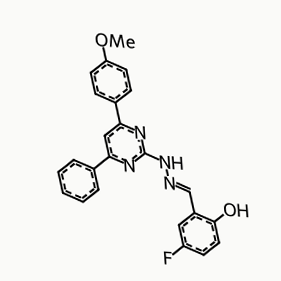 COc1ccc(-c2cc(-c3ccccc3)nc(NN=Cc3cc(F)ccc3O)n2)cc1